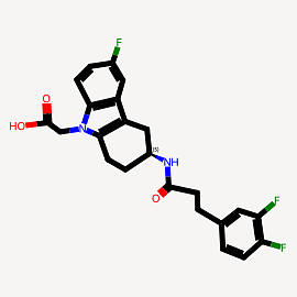 O=C(O)Cn1c2c(c3cc(F)ccc31)C[C@@H](NC(=O)CCc1ccc(F)c(F)c1)CC2